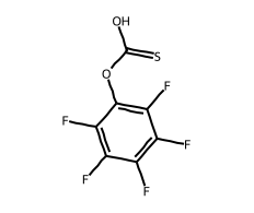 OC(=S)Oc1c(F)c(F)c(F)c(F)c1F